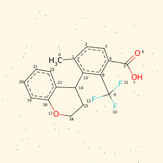 Cc1ccc(C(=O)O)c(C(F)(F)F)c1C1CCOc2ccccc21